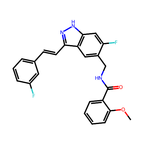 COc1ccccc1C(=O)NCc1cc2c(C=Cc3cccc(F)c3)n[nH]c2cc1F